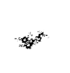 C=C(N)/C=C(\C=C/C)SNC1=NN(c2c(C)cc(C)cc2C)[C@]23N=C(C(C)(C)C)C=CC2[C@@H]13